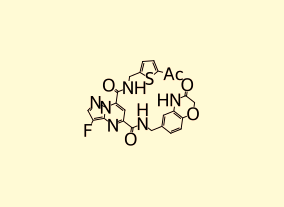 CC(=O)c1ccc(CNC(=O)c2cc(C(=O)NCc3ccc4c(c3)NC(=O)CO4)nc3c(F)cnn23)s1